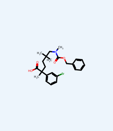 CN(CC(C)(C)CCC(C)(C(=O)O)c1cccc(Br)c1)C(=O)OCc1ccccc1